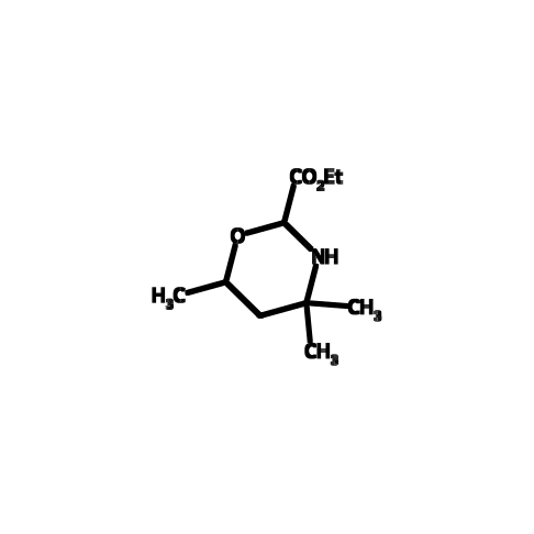 CCOC(=O)C1NC(C)(C)CC(C)O1